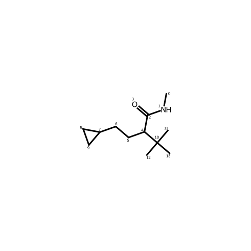 CNC(=O)C(CCC1CC1)C(C)(C)C